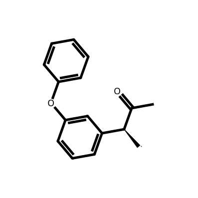 [CH2][C@H](C(C)=O)c1cccc(Oc2ccccc2)c1